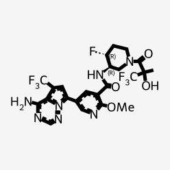 COc1ncc(-c2cc(C(F)(F)F)c3c(N)ncnn23)cc1C(=O)N[C@@H]1CN(C(=O)C(C)(O)C(F)(F)F)CC[C@H]1F